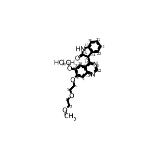 COCCOCCOc1cc2ncnc(C3C(=O)Nc4ccccc43)c2cc1OC.Cl